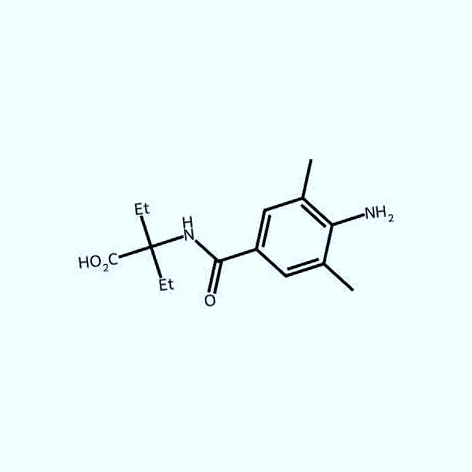 CCC(CC)(NC(=O)c1cc(C)c(N)c(C)c1)C(=O)O